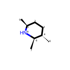 C[C@H]1CC[C@H](C)[C@@H](C)N1